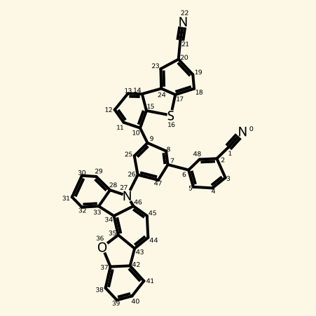 N#Cc1cccc(-c2cc(-c3cccc4c3sc3ccc(C#N)cc34)cc(-n3c4ccccc4c4c5oc6ccccc6c5ccc43)c2)c1